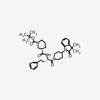 CC(C)(C)OC(=O)N1CCC[C@@H](C(=O)N[C@@H](CCc2ccccc2)C(=O)N2CCC(N3C(=O)C(C)(C)c4ccccc43)CC2)C1